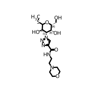 CSC1O[C@H](CO)[C@H](O)[C@H](n2cc(C(=O)NCCN3CCOCC3)nn2)[C@H]1O